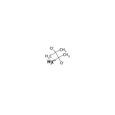 CC(C)([O-])C(C)(C)[O-].[Mg+2]